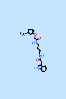 O=C(COc1cccc(C(F)(F)F)c1)NCCCCNC(=O)Cc1c[nH]c2ccccc12